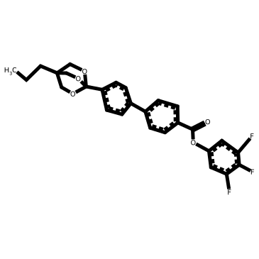 CCCC12COC(c3ccc(-c4ccc(C(=O)Oc5cc(F)c(F)c(F)c5)cc4)cc3)(OC1)OC2